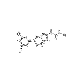 CCNC(=O)Nc1nc2cc(-c3cc(C)oc(=O)c3)cnc2s1